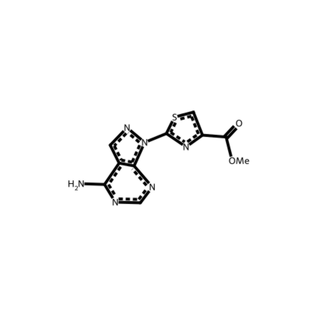 COC(=O)c1csc(-n2ncc3c(N)ncnc32)n1